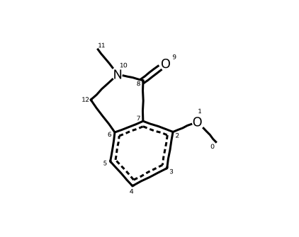 COc1cccc2c1C(=O)N(C)C2